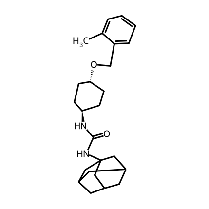 Cc1ccccc1CO[C@H]1CC[C@H](NC(=O)NC23CC4CC(CC(C4)C2)C3)CC1